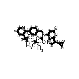 CC(C)(C)OC(=O)N(Cc1ccc(-c2ncccc2C(F)(F)F)cc1)c1cc(Cl)nc2c(C3CC3)cnn12